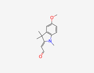 COc1ccc2c(c1)C(C)(C)C(=CC=O)N2C